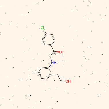 OCCc1ccccc1NC[C@H](O)c1ccc(Cl)cc1